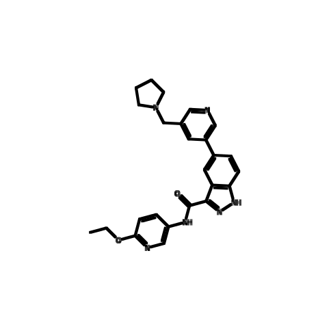 CCOc1ccc(NC(=O)c2n[nH]c3ccc(-c4cncc(CN5CCCC5)c4)cc23)cn1